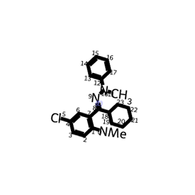 CNc1ccc(Cl)cc1/C(=N/N(C)c1ccccc1)C1CCCCC1